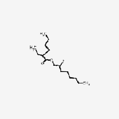 CCCCCCC(F)COC(=O)C(CC)CCCC